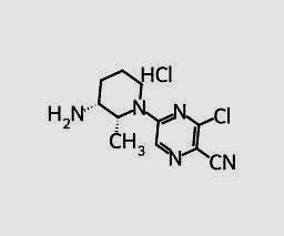 C[C@@H]1[C@H](N)CCCN1c1cnc(C#N)c(Cl)n1.Cl